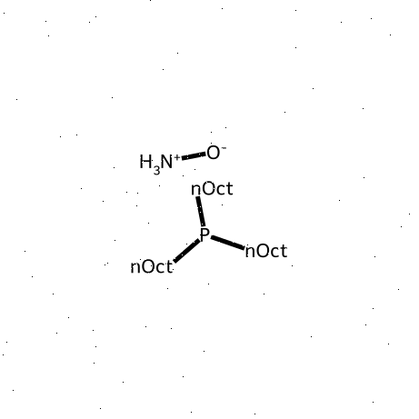 CCCCCCCCP(CCCCCCCC)CCCCCCCC.[NH3+][O-]